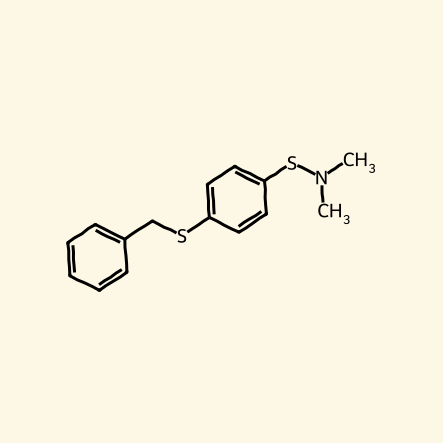 CN(C)Sc1ccc(SCc2ccccc2)cc1